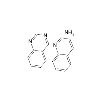 N.c1ccc2ncccc2c1.c1ccc2ncncc2c1